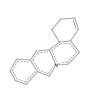 C1=Cc2cc[n+]3cc4ccccc4cc3c2CC1